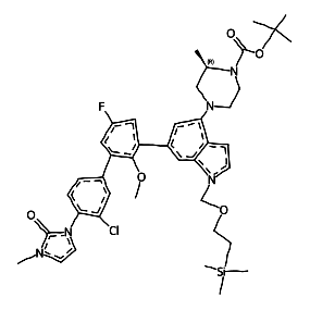 COc1c(-c2ccc(-n3ccn(C)c3=O)c(Cl)c2)cc(F)cc1-c1cc(N2CCN(C(=O)OC(C)(C)C)[C@H](C)C2)c2ccn(COCC[Si](C)(C)C)c2c1